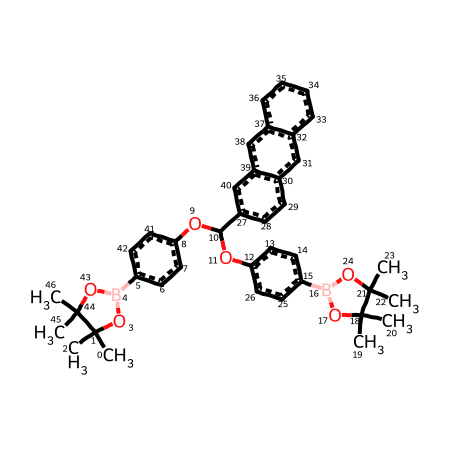 CC1(C)OB(c2ccc(OC(Oc3ccc(B4OC(C)(C)C(C)(C)O4)cc3)c3ccc4cc5ccccc5cc4c3)cc2)OC1(C)C